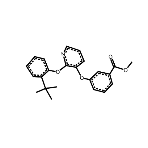 COC(=O)c1cccc(Oc2cccnc2Oc2ccccc2C(C)(C)C)c1